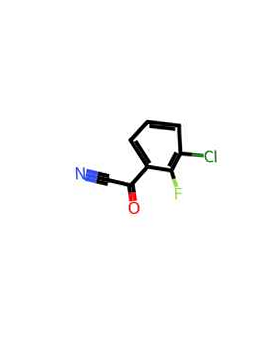 N#CC(=O)c1cccc(Cl)c1F